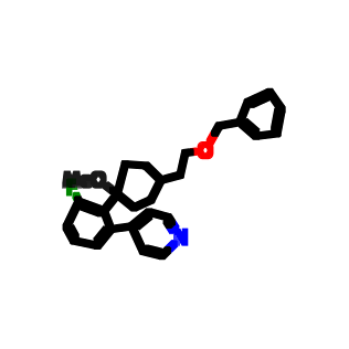 COC1(c2c(F)cccc2-c2ccncc2)CCC(CCOCc2ccccc2)CC1